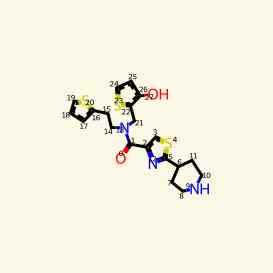 O=C(c1csc(C2CCNCC2)n1)N(CCc1cccs1)Cc1sccc1O